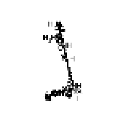 Cc1ncsc1-c1ccc(CNC(=O)[C@@H]2C[C@@H](O)CN2C(=O)[C@@H](NC(=O)CCCCCCCCCCNC(=O)CCCC(=O)Nc2cc3cc(-c4cncc(N)c4C)c(F)c(N)c3cn2)C(C)(C)C)cc1